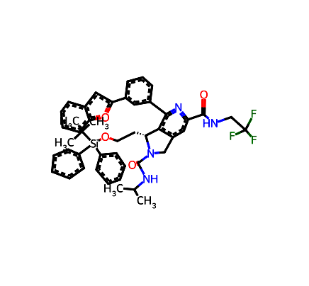 CC(C)NC(=O)N1Cc2cc(C(=O)NCC(F)(F)F)nc(-c3cccc(-c4cc5ccccc5o4)c3)c2[C@H]1CCO[Si](c1ccccc1)(c1ccccc1)C(C)(C)C